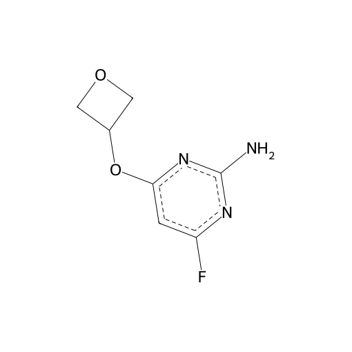 Nc1nc(F)cc(OC2COC2)n1